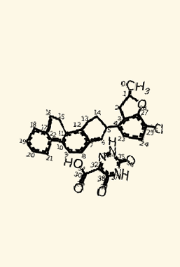 CC1Cc2c(C3C=c4ccc5c(c4CC3)CC=c3ccccc3=5)ccc(Cl)c2O1.O=C(O)c1n[nH]c(=O)[nH]c1=O